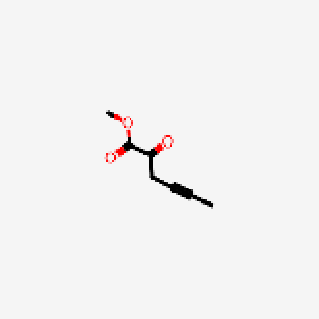 CC#CCC(=O)C(=O)OC